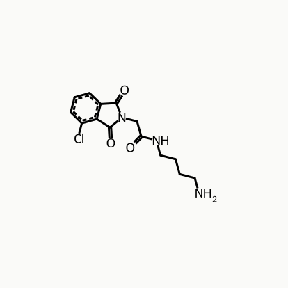 NCCCCNC(=O)CN1C(=O)c2cccc(Cl)c2C1=O